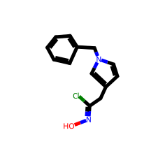 ON=C(Cl)Cc1ccn(Cc2ccccc2)c1